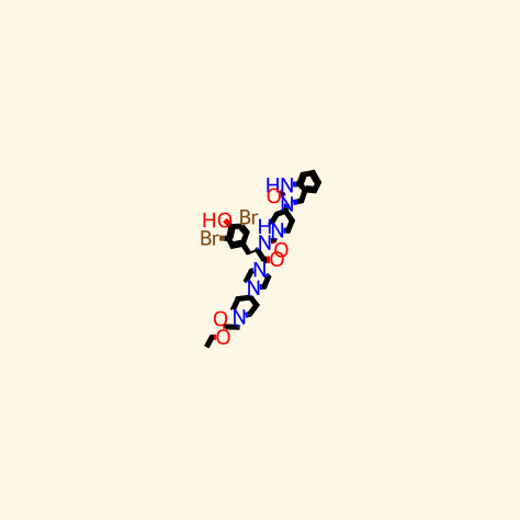 CCOC(=O)CN1CCC(N2CCN(C(=O)[C@@H](Cc3cc(Br)c(O)c(Br)c3)NC(=O)N3CCC(N4Cc5ccccc5NC4=O)CC3)CC2)CC1